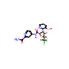 COc1cccnc1[C@H]1[C@@H](C)[C@](C)(C(F)(F)F)O[C@H]1C(=O)Nc1ccnc(C(N)=O)c1